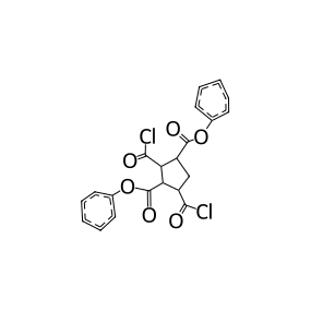 O=C(Cl)C1CC(C(=O)Oc2ccccc2)C(C(=O)Cl)C1C(=O)Oc1ccccc1